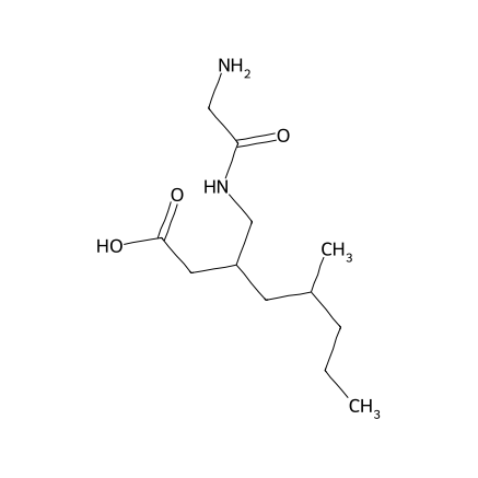 CCCC(C)CC(CNC(=O)CN)CC(=O)O